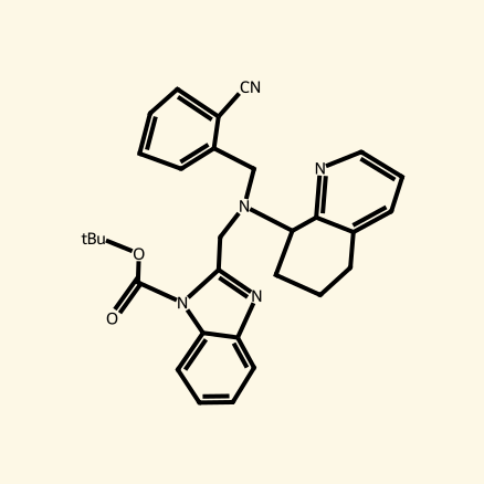 CC(C)(C)OC(=O)n1c(CN(Cc2ccccc2C#N)C2CCCc3cccnc32)nc2ccccc21